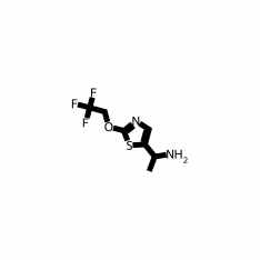 CC(N)c1cnc(OCC(F)(F)F)s1